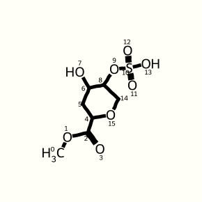 COC(=O)C1CC(O)C(OS(=O)(=O)O)CO1